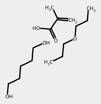 C=C(C)C(=O)O.CCCOCCC.OCCCCCO